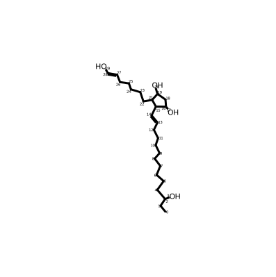 CCC(O)CCCCCCCCCC=CC1C(O)CC(O)C1CCCCCC=CO